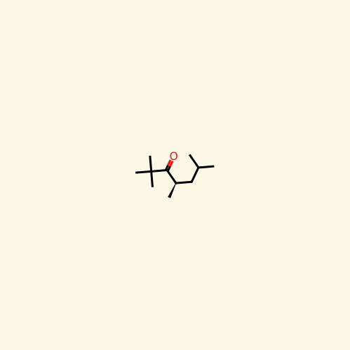 CC(C)C[C@@H](C)C(=O)C(C)(C)C